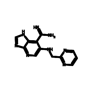 N=C(N)c1c(NCc2ncccn2)cnc2nc[nH]c12